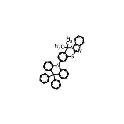 CC1(C)c2ccc(N3c4ccccc4C(c4ccccc4)(c4ccccc4)c4ccccc43)cc2Sc2nc3ccccc3n21